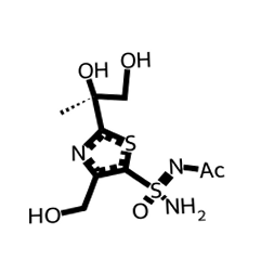 CC(=O)N=S(N)(=O)c1sc([C@@](C)(O)CO)nc1CO